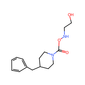 O=C(ONCCO)N1CCC(Cc2ccccc2)CC1